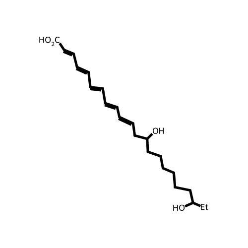 CCC(O)CCCCCCC(O)CC=CC=CC=CC=CC=CC(=O)O